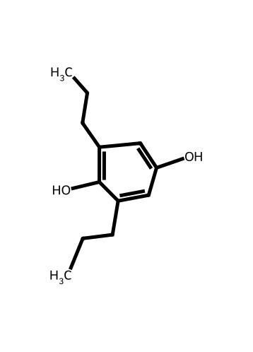 CCCc1cc(O)cc(CCC)c1O